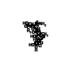 C[C@@H]1S[C@@H]2[C@H](NC(=O)/C(=N\OC(C)(C)C(=O)O)c3csc(N)n3)C(=O)N2C(C(=O)O)=C1C[N+]1(Cc2c[nH]c3cc(O)c(O)c(Cl)c3c2=O)CCC1